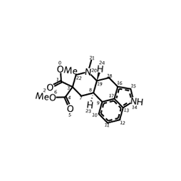 COC(=O)C1(C(=O)OC)C[C@@H]2c3cccc4[nH]cc(c34)C[C@H]2N(C)C1